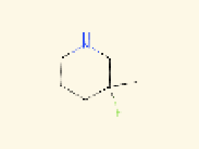 CC1(F)CCCNC1